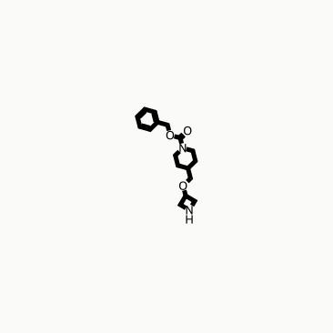 O=C(OCc1ccccc1)N1CCC(COC2CNC2)CC1